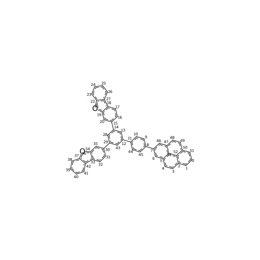 c1cc2ccc3cc(-c4ccc(-c5cc(-c6ccc7c(c6)oc6ccccc67)cc(-c6ccc7c(c6)oc6ccccc67)c5)cc4)cc4ccc(c1)c2c34